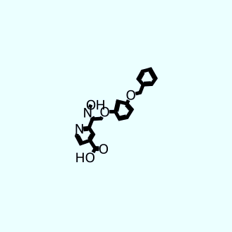 O=C(O)c1ccnc(/C(COc2cccc(OCc3ccccc3)c2)=N/O)c1